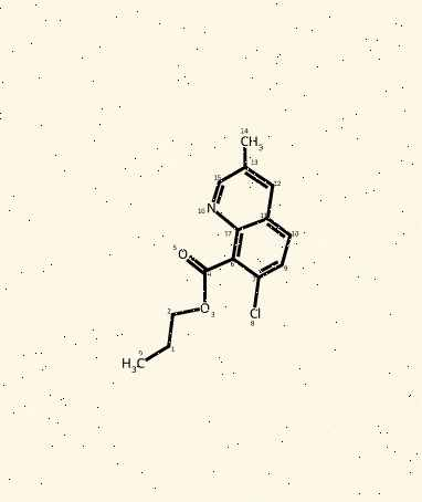 CCCOC(=O)c1c(Cl)ccc2cc(C)cnc12